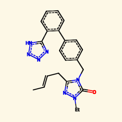 C/C=C/Cc1nn(CC)c(=O)n1Cc1ccc(-c2ccccc2-c2nnn[nH]2)cc1